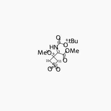 COC(=O)C(NC(=O)OC(C)(C)C)C1(OC)CS(=O)(=O)C1